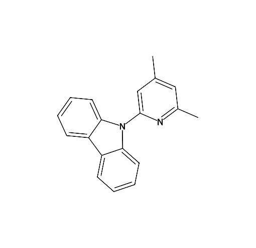 Cc1cc(C)nc(-n2c3ccccc3c3ccccc32)c1